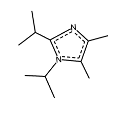 Cc1nc(C(C)C)n(C(C)C)c1C